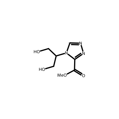 COC(=O)c1nn[c]n1C(CO)CO